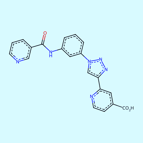 O=C(O)c1ccnc(-c2cn(-c3cccc(NC(=O)c4cccnc4)c3)nn2)c1